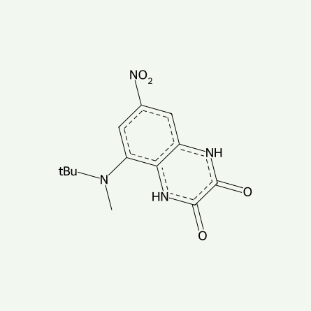 [CH2]C(C)(C)N(C)c1cc([N+](=O)[O-])cc2[nH]c(=O)c(=O)[nH]c12